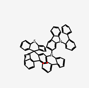 c1ccc(-c2ccccc2N(c2ccc3c(c2)C2(c4ccccc4Sc4ccccc42)c2cccc4cccc-3c24)c2ccc3c4ccccc4n(-c4ccccc4-c4ccccc4)c3c2)cc1